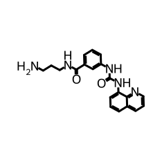 NCCCNC(=O)c1cccc(NC(=O)Nc2cccc3cccnc23)c1